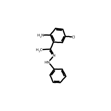 C/C(=N\Nc1ccccc1)c1cc(Cl)ccc1N